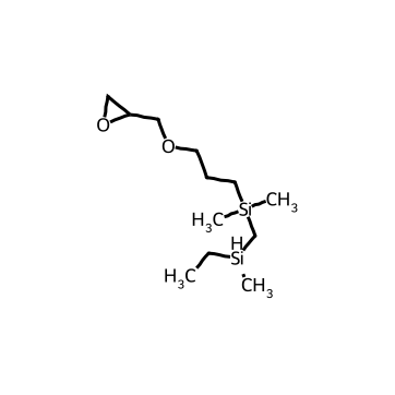 CC[SiH](C)C[Si](C)(C)CCCOCC1CO1